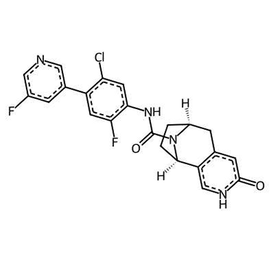 O=C(Nc1cc(Cl)c(-c2cncc(F)c2)cc1F)N1[C@H]2CC[C@@H]1c1c[nH]c(=O)cc1C2